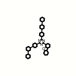 c1ccc(-c2ccc(-c3ccc(-c4nc(-c5ccc(-c6cccc(-c7ccccc7)c6)cc5)nc(-c5cccc6c5oc5ccccc56)n4)cc3)cc2)cc1